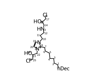 CCCCCCCCCCCCCCCCCc1n(CCCNCC(O)CCl)cc[n+]1CC(O)CCl